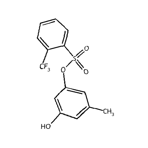 Cc1cc(O)cc(OS(=O)(=O)c2ccccc2C(F)(F)F)c1